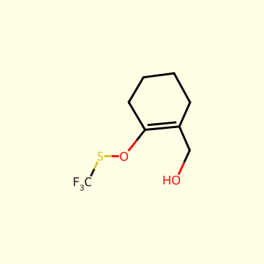 OCC1=C(OSC(F)(F)F)CCCC1